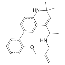 C=CCNC(C)C1=CC(C)(C)Nc2ccc(-c3ccccc3OC)cc21